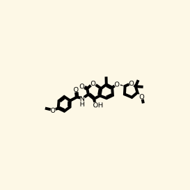 COc1ccc(C(=O)Nc2c(O)c3ccc(O[C@H]4CC[C@@H](OC)C(C)(C)O4)c(C)c3oc2=O)cc1